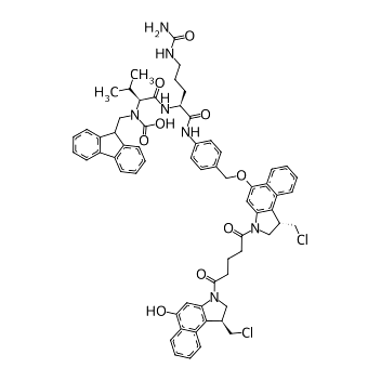 CC(C)[C@@H](C(=O)N[C@@H](CCCNC(N)=O)C(=O)Nc1ccc(COc2cc3c(c4ccccc24)[C@H](CCl)CN3C(=O)CCCC(=O)N2C[C@@H](CCl)c3c2cc(O)c2ccccc32)cc1)N(CC1c2ccccc2-c2ccccc21)C(=O)O